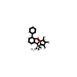 CC1=Cc2c(-c3ccccc3)cccc2[CH]1[Zr]([CH3])([CH3])(=[SiH2])[C]1=C(C)C(C)=C(C)C1C